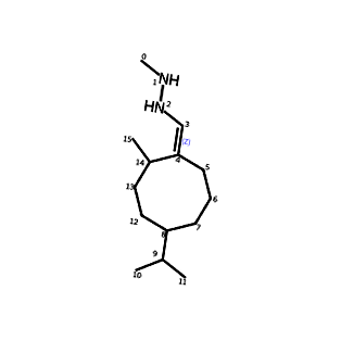 CNN/C=C1/CCCC(C(C)C)CCC1C